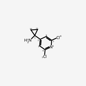 NC1(c2cc(Cl)nc(Cl)c2)CC1